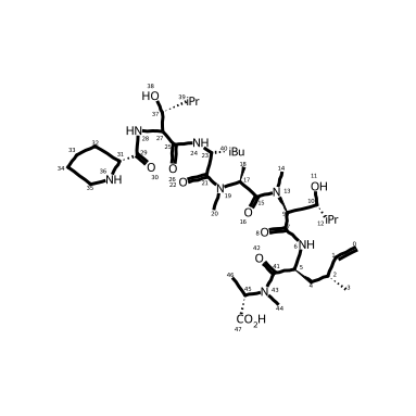 C=C[C@H](C)C[C@H](NC(=O)[C@H]([C@H](O)C(C)C)N(C)C(=O)[C@H](C)N(C)C(=O)C(NC(=O)C(NC(=O)[C@H]1CCCCN1)[C@H](O)C(C)C)[C@@H](C)CC)C(=O)N(C)[C@@H](C)C(=O)O